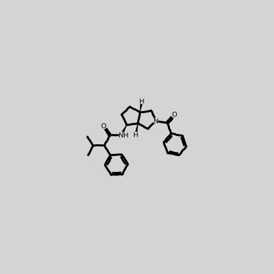 CC(C)C(C(=O)N[C@H]1CC[C@@H]2CN(C(=O)c3ccccc3)C[C@@H]21)c1ccccc1